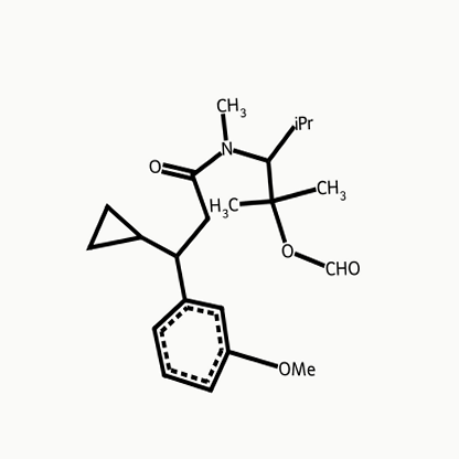 COc1cccc(C(CC(=O)N(C)C(C(C)C)C(C)(C)OC=O)C2CC2)c1